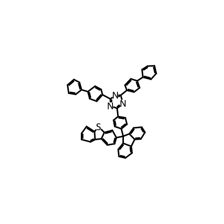 c1ccc(-c2ccc(-c3nc(-c4ccc(-c5ccccc5)cc4)nc(-c4ccc(C5(c6ccc7c(c6)sc6ccccc67)c6ccccc6-c6ccccc65)cc4)n3)cc2)cc1